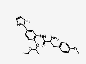 CCOC(C)Oc1ccc(-c2ncc[nH]2)cc1NC(=O)C(N)Cc1ccc(OC)cc1